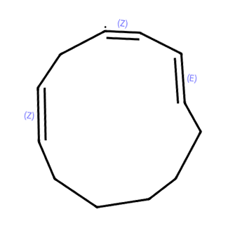 [C]1=C\C=C\CCCCC/C=C\C/1